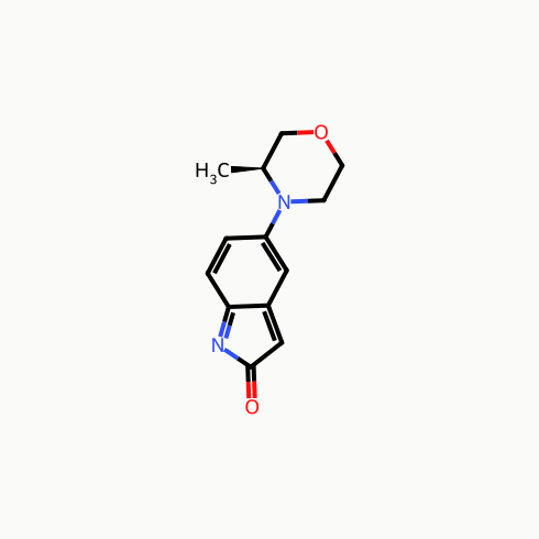 C[C@H]1COCCN1c1ccc2c(c1)=CC(=O)N=2